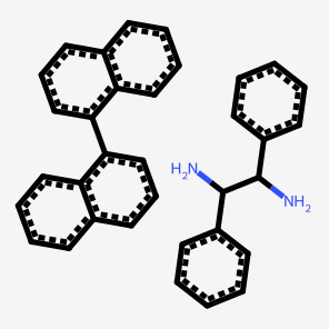 NC(c1ccccc1)C(N)c1ccccc1.c1ccc2c(-c3cccc4ccccc34)cccc2c1